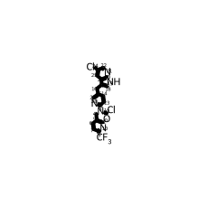 O=C(Cl)N(Cc1ccc(C(F)(F)F)nc1)c1ccc(Cc2c[nH]c3ncc(Cl)cc23)cn1